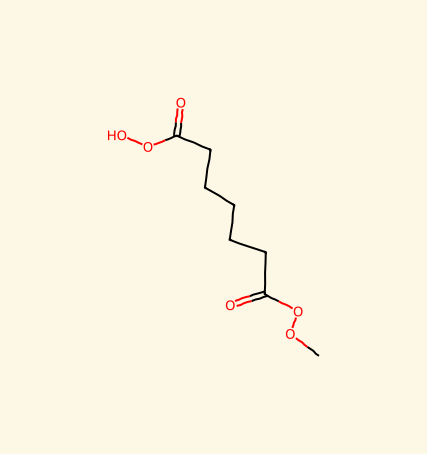 COOC(=O)CCCCCC(=O)OO